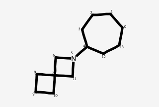 C1CCCC(N2CC3(CCC3)C2)CC1